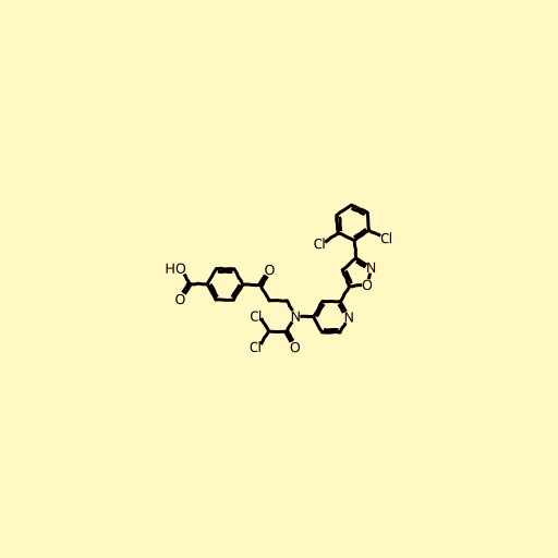 O=C(O)c1ccc(C(=O)CCN(C(=O)C(Cl)Cl)c2ccnc(-c3cc(-c4c(Cl)cccc4Cl)no3)c2)cc1